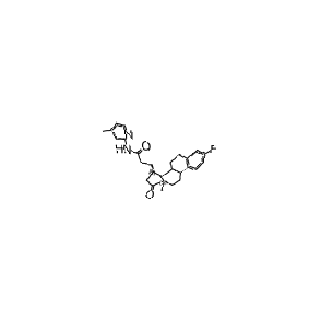 Cc1ccnc(NC(=O)CC[C@@H]2CC(=O)[C@@]3(C)CCC4c5ccc(F)cc5CCC4C23)c1